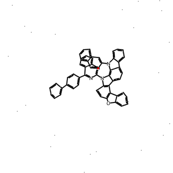 c1ccc(-c2ccc(-c3nc(-n4c5ccc6oc7ccccc7c6c5c5ccc6c7ccccc7n(-c7ccc8ccccc8c7)c6c54)nc4ccccc34)cc2)cc1